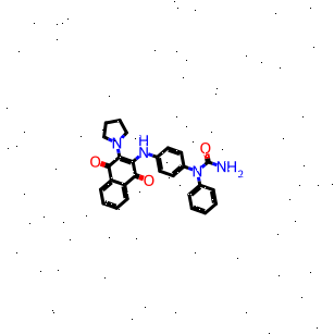 NC(=O)N(c1ccccc1)c1ccc(NC2=C(N3CCCC3)C(=O)c3ccccc3C2=O)cc1